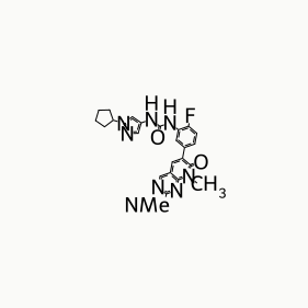 CNc1ncc2cc(-c3ccc(F)c(NC(=O)Nc4cnn(C5CCCC5)c4)c3)c(=O)n(C)c2n1